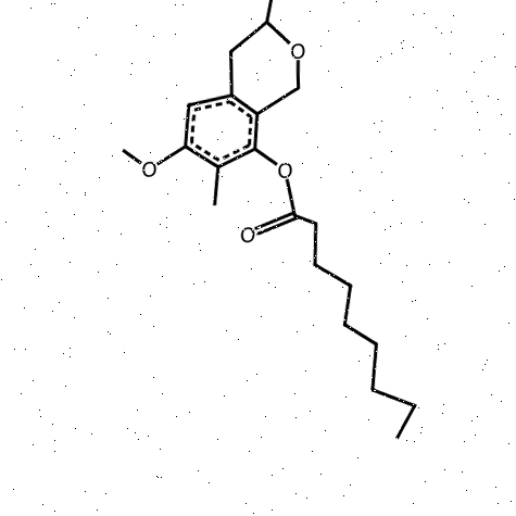 CCCCCCCCC(=O)Oc1c(C)c(OC)cc2c1COC(C)C2